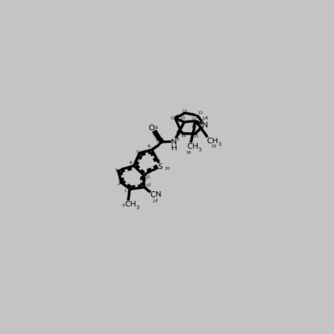 Cc1ccc2cc(C(=O)NC3C4CCN(CC4)C3(C)C)sc2c1C#N